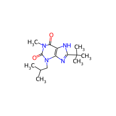 CC(C)Cn1c(=O)n(C)c(=O)c2[nH]c(C(C)(C)C)nc21